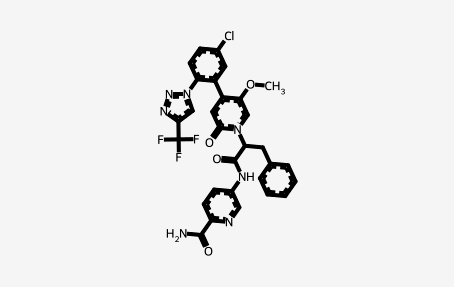 COc1cn(C(Cc2ccccc2)C(=O)Nc2ccc(C(N)=O)nc2)c(=O)cc1-c1cc(Cl)ccc1-n1cc(C(F)(F)F)nn1